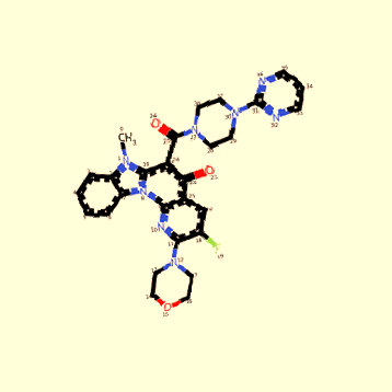 Cn1c2ccccc2n2c3nc(N4CCOCC4)c(F)cc3c(=O)c(C(=O)N3CCN(c4ncccn4)CC3)c12